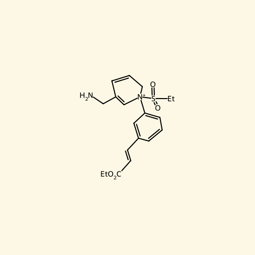 CCOC(=O)C=Cc1cccc([N+]2(S(=O)(=O)CC)C=C(CN)C=CC2)c1